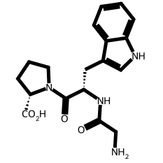 NCC(=O)N[C@@H](Cc1c[nH]c2ccccc12)C(=O)N1CCC[C@H]1C(=O)O